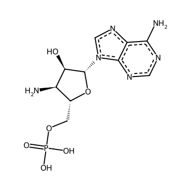 Nc1ncnc2c1ncn2[C@@H]1O[C@H](COP(=O)(O)O)[C@@H](N)[C@H]1O